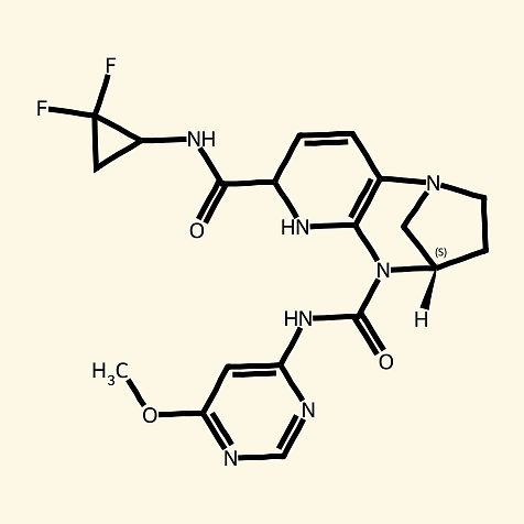 COc1cc(NC(=O)N2C3=C(C=CC(C(=O)NC4CC4(F)F)N3)N3CC[C@H]2C3)ncn1